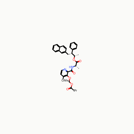 COc1ccnc(C(=O)N[C@@H](C)C(=O)O[C@@H](C)[C@H](Cc2ccc3ccccc3c2)c2ccccc2)c1OCOC(=O)C(C)C